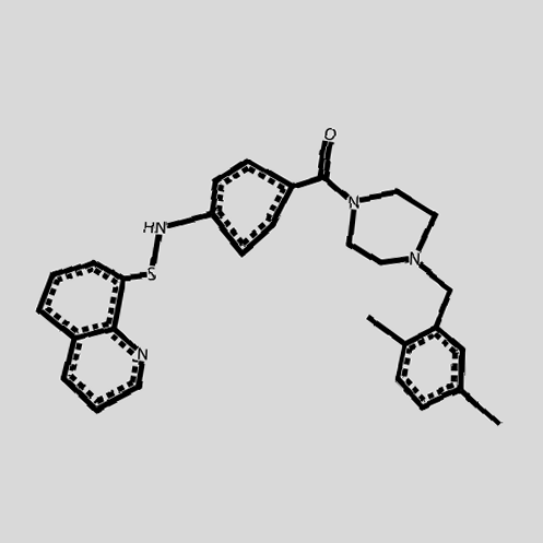 Cc1ccc(C)c(CN2CCN(C(=O)c3ccc(NSc4cccc5cccnc45)cc3)CC2)c1